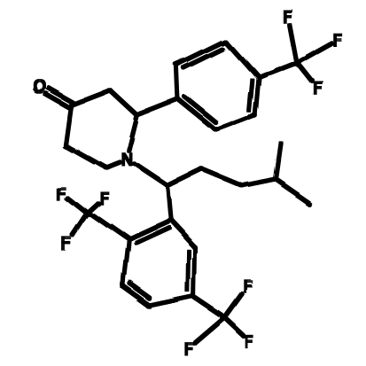 CC(C)CCC(c1cc(C(F)(F)F)ccc1C(F)(F)F)N1CCC(=O)CC1c1ccc(C(F)(F)F)cc1